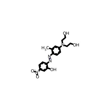 Cc1cc(N(CCO)CCO)ccc1/N=N/c1ccc([N+](=O)[O-])cc1O